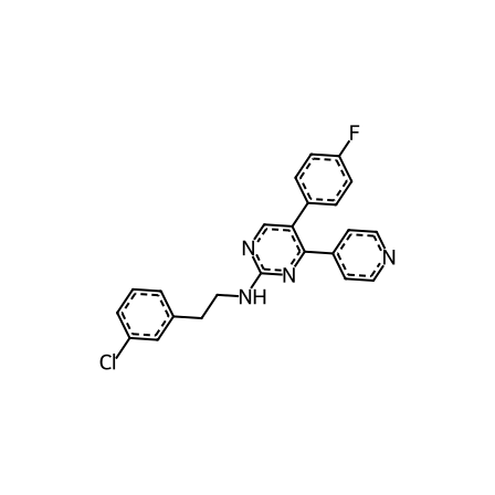 Fc1ccc(-c2cnc(NCCc3cccc(Cl)c3)nc2-c2ccncc2)cc1